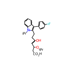 CC(C)OC(/C=C(\O)CCc1c(-c2ccc(F)cc2)c2ccccc2n1C(C)C)CC(=O)O